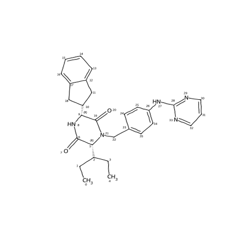 CCC(CC)[C@@H]1C(=O)N[C@H](C2Cc3ccccc3C2)C(=O)N1Cc1ccc(Nc2ncccn2)cc1